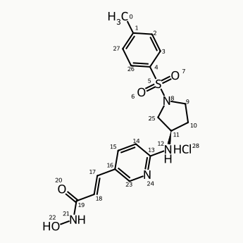 Cc1ccc(S(=O)(=O)N2CC[C@@H](Nc3ccc(/C=C/C(=O)NO)cn3)C2)cc1.Cl